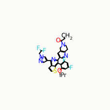 C=CC(=O)N1CCc2ncc(-c3nc(-c4cnn(CC(F)F)c4)c4ccsc4c3-c3c(F)cc(F)cc3OC(C)C)cc2C1